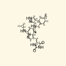 O=C1NC(=O)/C(=C/c2cnn3c(NC4CC4)cc(NCc4ccc(F)cc4-c4cn[nH]c4)nc23)N1